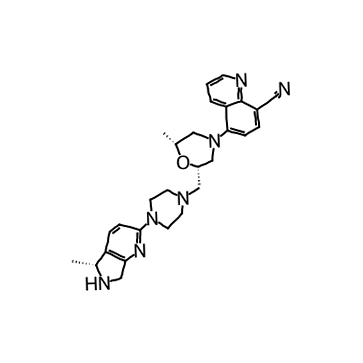 C[C@@H]1CN(c2ccc(C#N)c3ncccc23)C[C@H](CN2CCN(c3ccc4c(n3)CN[C@@H]4C)CC2)O1